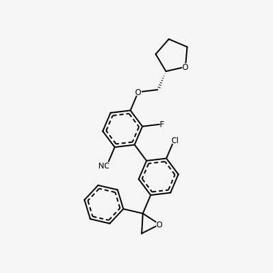 N#Cc1ccc(OC[C@@H]2CCCO2)c(F)c1-c1cc(C2(c3ccccc3)CO2)ccc1Cl